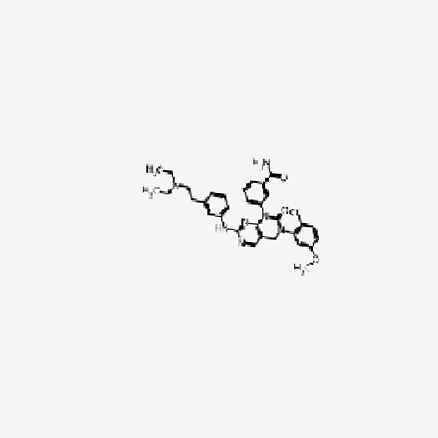 CCN(CC)CCc1cccc(Nc2ncc3c(n2)N(c2cccc(C(N)=O)c2)C(=O)N(c2cc(OC)ccc2Cl)C3)c1